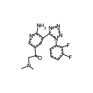 CN(C)CC(=O)c1cnc(N)c(-c2nnnn2-c2cccc(F)c2F)c1